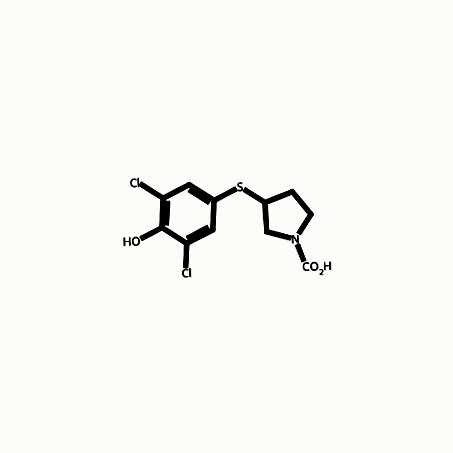 O=C(O)N1CCC(Sc2cc(Cl)c(O)c(Cl)c2)C1